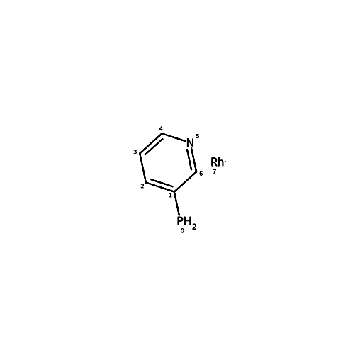 Pc1cccnc1.[Rh]